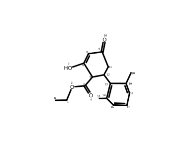 CCOC(=O)C1C(O)=CC(=O)CC1c1c(C)cccc1C